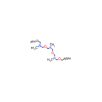 CNCOCN(C)COCN(C)COCN(C)COC